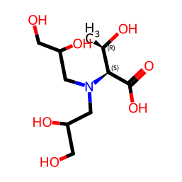 C[C@@H](O)[C@@H](C(=O)O)N(CC(O)CO)CC(O)CO